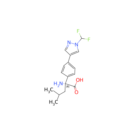 CC(C)C[C@](N)(C(=O)O)c1ccc(-c2cnn(C(F)F)c2)cc1